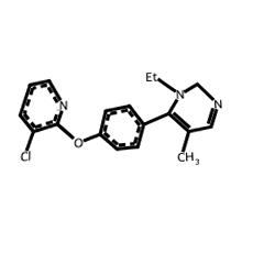 CCN1CN=CC(C)=C1c1ccc(Oc2ncccc2Cl)cc1